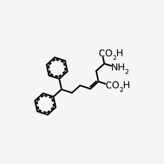 NC(C/C(=C\CCC(c1ccccc1)c1ccccc1)C(=O)O)C(=O)O